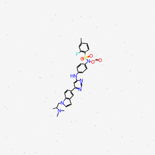 Cc1ccc(S(=O)(=O)N(OC=O)c2ccc(Nc3cc(-c4ccc5c(ccn5CC(C)N(C)C)c4)ncn3)cc2)c(F)c1